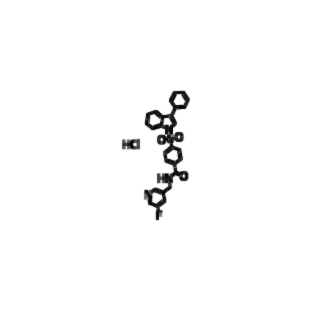 Cl.O=C(NCc1cncc(F)c1)c1ccc(S(=O)(=O)n2cc(-c3ccccc3)c3ccccc32)cc1